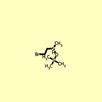 C[SiH](CCBr)O[Si](C)(C)C